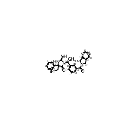 CC(C)CC1(c2ccccc2)NC(=N)N([C@H](C)c2cccc(C(=O)N3Cc4cncnc4C3)c2)C1=O